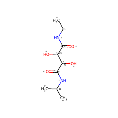 CCNC(=O)[C@@H](O)[C@@H](O)C(=O)NC(C)C